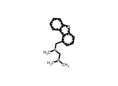 CN(C)CN(C)Cc1cccc2sc3ccccc3c12